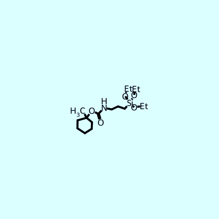 CCO[Si](CCCNC(=O)OC1(C)CCCCC1)(OCC)OCC